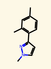 Cc1ccc(-c2c[c]n(C)n2)c(C)c1